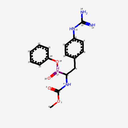 COC(=O)NC(Cc1ccc(NC(=N)N)cc1)[PH](=O)Oc1ccccc1